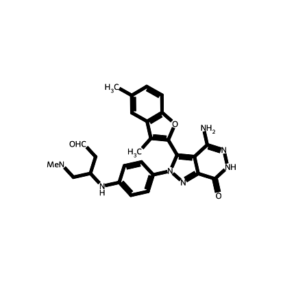 CNCC(CC=O)Nc1ccc(-n2nc3c(=O)[nH]nc(N)c3c2-c2oc3ccc(C)cc3c2C)cc1